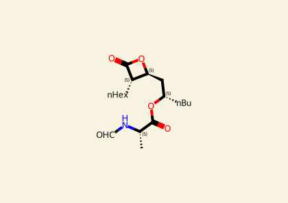 CCCCCC[C@@H]1C(=O)O[C@H]1C[C@H](CCCC)OC(=O)[C@H](C)NC=O